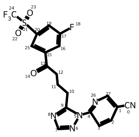 N#Cc1ccc(-n2ncnc2CCCC(=O)c2cc(F)cc(S(=O)(=O)C(F)(F)F)c2)nc1